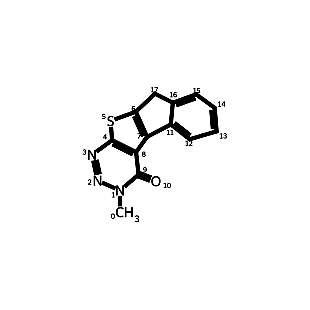 Cn1nnc2sc3c(c2c1=O)-c1ccccc1C3